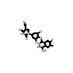 N#Cc1cn(-c2cc(Cl)c(OC3=NNC(O)c4cc(F)c(F)cc43)c(Cl)c2)c(=O)[nH]c1=O